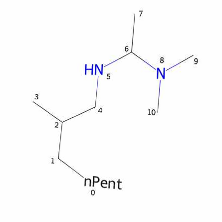 CCCCCCC(C)CNC(C)N(C)C